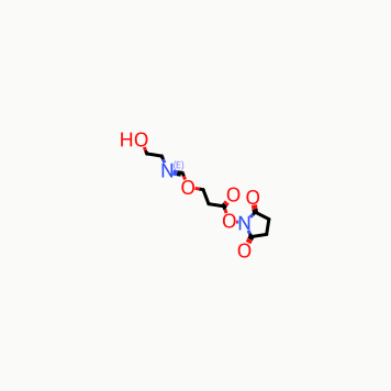 O=C(CCO/C=N/CCO)ON1C(=O)CCC1=O